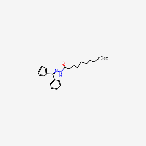 CCCCCCCCCCCCCCCCCC(=O)NN=C(c1ccccc1)c1ccccc1